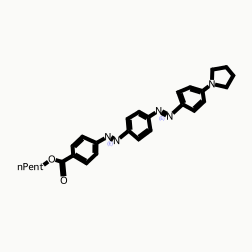 CCCCCOC(=O)c1ccc(/N=N/c2ccc(/N=N/c3ccc(N4CCCC4)cc3)cc2)cc1